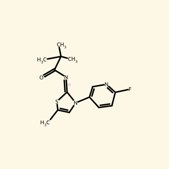 Cc1cn(-c2ccc(F)nc2)/c(=N/C(=O)C(C)(C)C)s1